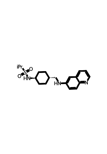 CC(C)S(=O)(=O)N[C@H]1CC[C@H](CNc2ccc3ncccc3c2)CC1